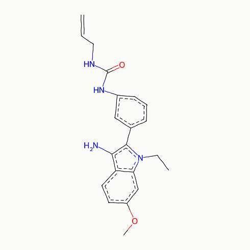 C=CCNC(=O)Nc1cccc(-c2c(N)c3ccc(OC)cc3n2CC)c1